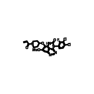 C=CC(=O)N1CCC(Oc2c(OC)cc3ncnc4c3c2NC(=O)N4c2ccc(Cl)c(Cl)c2F)CC1